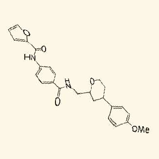 COc1ccc(C2CCOC(CNC(=O)c3ccc(NC(=O)c4ccco4)cc3)C2)cc1